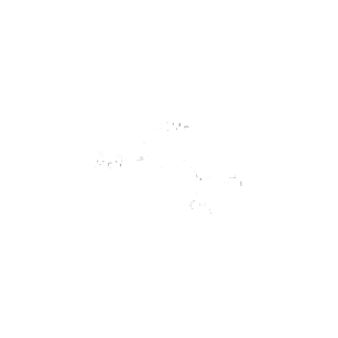 CN[C@@H](CCN(C)C)CSC